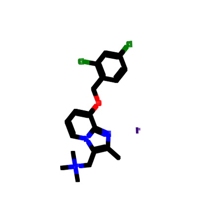 Cc1nc2c(OCc3ccc(Cl)cc3Cl)cccn2c1C[N+](C)(C)C.[I-]